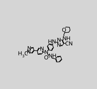 Cn1cc(-c2ccc(N(C(=O)NCc3ccccc3)c3ccc(Nc4ncc(C#N)c(NCC5CCCCO5)n4)cc3)nc2)cn1